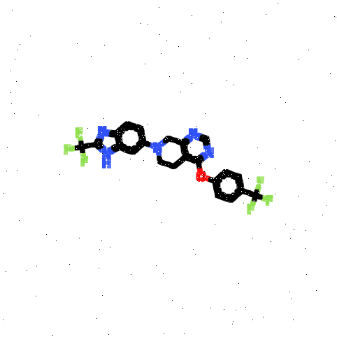 FC(F)(F)c1ccc(Oc2ncnc3c2CCN(c2ccc4nc(C(F)(F)F)[nH]c4c2)C3)cc1